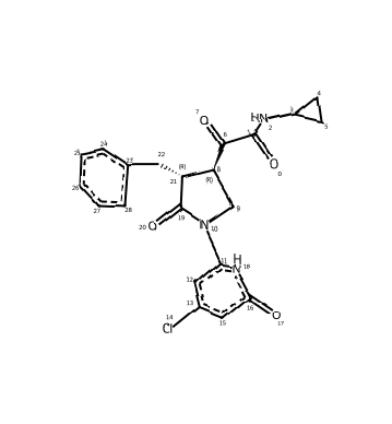 O=C(NC1CC1)C(=O)[C@H]1CN(c2cc(Cl)cc(=O)[nH]2)C(=O)[C@@H]1Cc1ccccc1